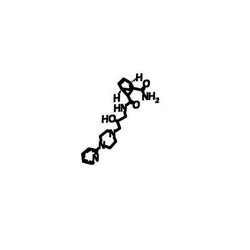 NC(=O)C1C(C(=O)NCC(O)CN2CCN(c3ccccn3)CC2)[C@H]2C=C[C@@H]1C2